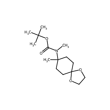 CN(C(=O)OC(C)(C)C)C1(C)CCC2(CC1)OCCO2